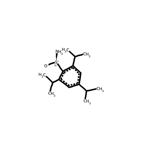 CC(C)c1cc(C(C)C)c([S@+](N)[O-])c(C(C)C)c1